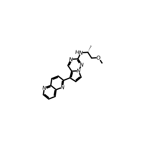 COC[C@@H](C)Nc1ncc2c(-c3ccc4ncccc4n3)ccn2n1